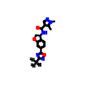 [2H]C([2H])([2H])c1noc(-c2ccc3c(c2)OC[C@H]3NC(=O)c2cnn(C)c2C)n1